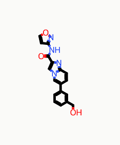 O=C(Nc1ccon1)c1cn2cc(-c3cccc(CO)c3)ccc2n1